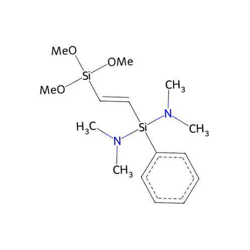 CO[Si](C=C[Si](c1ccccc1)(N(C)C)N(C)C)(OC)OC